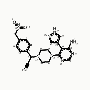 N#CC(c1ccc(C[SH](=O)=O)cc1)N1CCN(c2ncnc(N)c2-c2cn[nH]c2)CC1